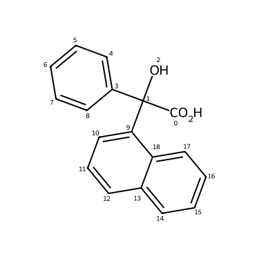 O=C(O)C(O)(c1ccccc1)c1cccc2ccccc12